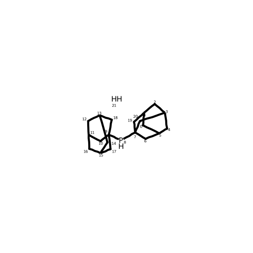 C1C2CC3CC1CC(PC14CC5CC(CC(C5)C1)C4)(C2)C3.[HH]